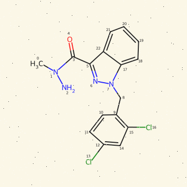 CN(N)C(=O)c1nn(Cc2ccc(Cl)cc2Cl)c2ccccc12